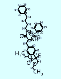 CCOP(=O)(OCC)C(F)(F)c1ccc(CC(NS(=O)(=O)c2ccccc2)C(=O)NCCCCc2ccccc2)cc1